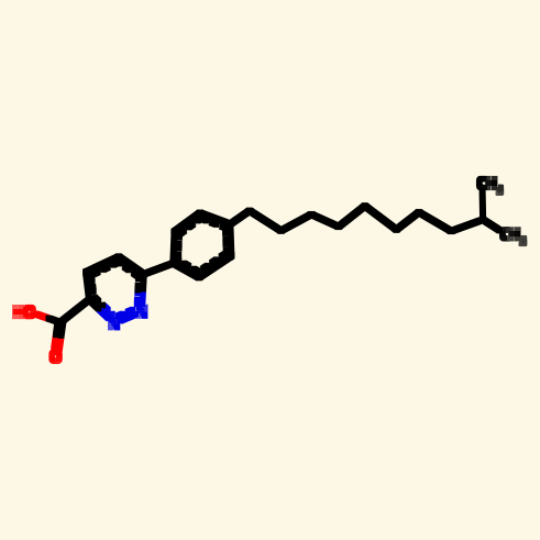 CC(C)CCCCCCCCc1ccc(-c2ccc(C(=O)O)nn2)cc1